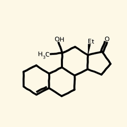 CC[C@]12CC(C)(O)C3C4CCCC=C4CCC3C1CCC2=O